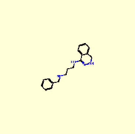 c1ccc(CNCCCNC2=NNCc3ccccc32)cc1